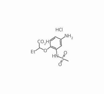 CCC(Oc1ccc(N)cc1NS(C)(=O)=O)C(=O)O.Cl